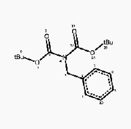 CC(C)(C)OC(=O)N(Cc1ccccc1)C(=O)OC(C)(C)C